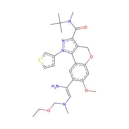 CCOCN(C)/C=C(\N)c1cc2c(cc1OC)OCc1c(C(=O)N(C)C(C)(C)C)nn(-c3ccsc3)c1-2